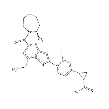 CCc1cc(C(=O)N2CCCCC[C@H]2C)nc2cc(-c3ccc(C4CC4C(=O)O)cc3F)nn12